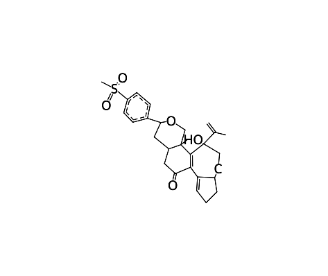 C=C(C)C1(O)CCC2CCC=C2C2=C1C1(C)COC(c3ccc(S(C)(=O)=O)cc3)CC1CC2=O